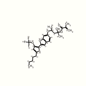 C=C(C)C(=O)OC(C)(C)CC(C)Oc1ccc2cc(-c3sc(CCCCC)cc3OC(F)(F)F)oc2c1